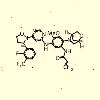 C=CC(=O)Nc1cc(Nc2cc(N3OCC[C@@H]3c3cccc(C(F)(F)F)c3F)ncn2)c(OC)cc1N1C[C@@H]2C[C@H]1CO2